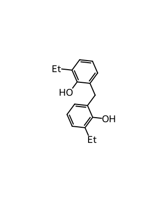 CCc1cccc(Cc2cccc(CC)c2O)c1O